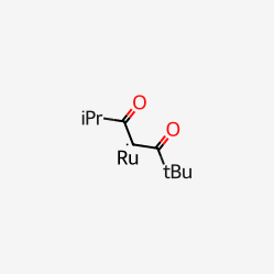 CC(C)C(=O)[CH]C(=O)C(C)(C)C.[Ru]